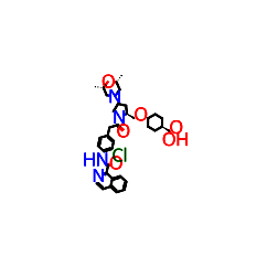 C[C@@H]1CN([C@H]2C[C@@H](CO[C@H]3CC[C@H](C(=O)O)CC3)N(C(=O)Cc3ccc(NC(=O)c4nccc5ccccc45)c(Cl)c3)C2)C[C@H](C)O1